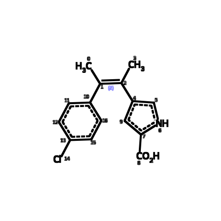 C/C(=C(\C)c1c[nH]c(C(=O)O)c1)c1ccc(Cl)cc1